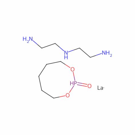 NCCNCCN.O=[PH]1OCCCCCO1.[La]